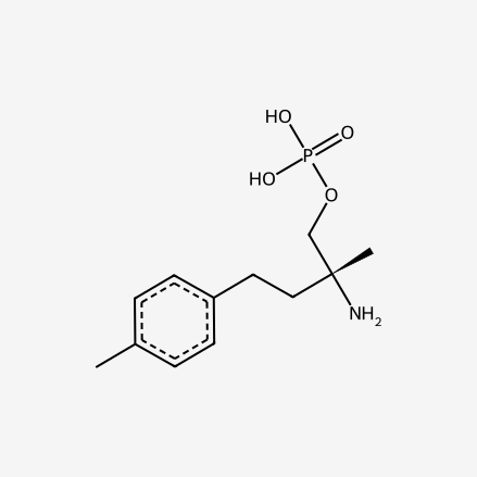 Cc1ccc(CC[C@@](C)(N)COP(=O)(O)O)cc1